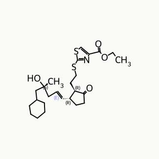 CCOC(=O)c1csc(SCC[C@H]2C(=O)CC[C@@H]2/C=C/C[C@@](C)(O)CC2CCCCC2)n1